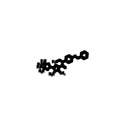 CCN(C(=O)c1cc(B2OC(C)(C)C(C)(C)O2)n(C)c1C)c1ccc(OCc2ccccc2)cc1